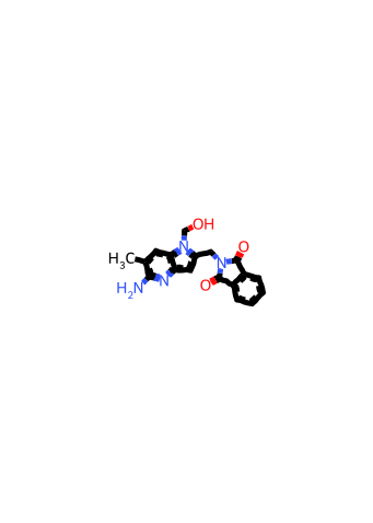 Cc1cc2c(cc(CN3C(=O)c4ccccc4C3=O)n2CO)nc1N